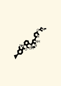 CN1CC(Oc2ccc(-c3cc4c(-c5cccc(-n6ncc7cc(C8CC8)ccc7c6=O)c5CO)ncnc4[nH]3)nc2)C1